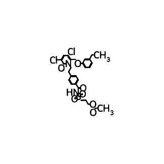 CCc1cccc(OCc2c(Cl)cc(Cl)c(=O)n2CCc2ccc(C(=O)NS(=O)(=O)CCCOC(C)=O)cc2)c1